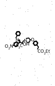 CCOC(=O)CCc1ccc(OC2CCN(CC(O)(c3cn(Cc4ccccc4)c4cc([N+](=O)[O-])ccc34)C(F)(F)F)CC2)cc1